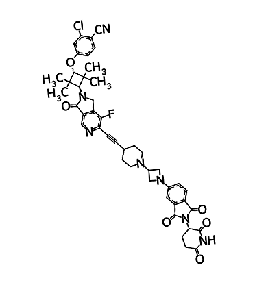 CC1(C)[C@H](Oc2ccc(C#N)c(Cl)c2)C(C)(C)[C@H]1N1Cc2c(cnc(C#CC3CCN(C4CN(c5ccc6c(c5)C(=O)N(C5CCC(=O)NC5=O)C6=O)C4)CC3)c2F)C1=O